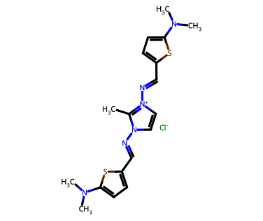 Cc1n(/N=C/c2ccc(N(C)C)s2)cc[n+]1/N=C/c1ccc(N(C)C)s1.[Cl-]